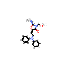 CCOCN1C(=O)/C(=C\CN(c2ccccc2)c2ccccc2)OC1=NC(C)C